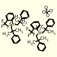 CC(C)([CH2][Sn+]([CH2]C(C)(C)c1ccccc1)[c]1ccccc1C(F)(F)F)c1ccccc1.CC(C)([CH2][Sn+]([CH2]C(C)(C)c1ccccc1)[c]1ccccc1C(F)(F)F)c1ccccc1.O=S(=O)([O-])[O-]